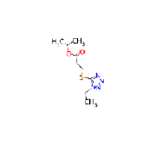 CCn1nnnc1SCCC(=O)OC(C)C